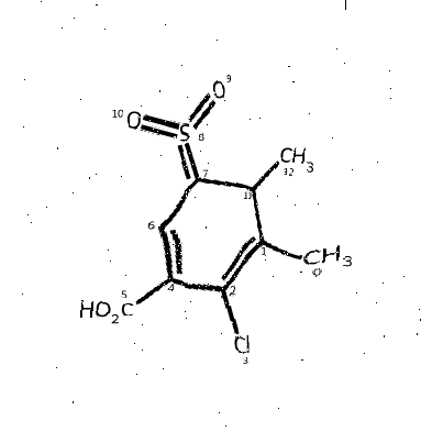 CC1=C(Cl)C(C(=O)O)=CC(=S(=O)=O)C1C